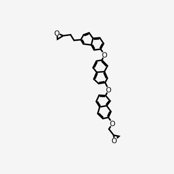 c1cc2ccc(Oc3ccc4ccc(Oc5ccc6ccc(OCC7CO7)cc6c5)cc4c3)cc2cc1CCC1CO1